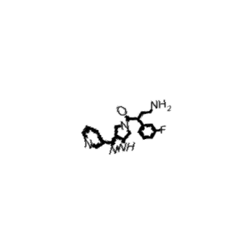 NCCC(C(=O)N1Cc2[nH]nc(-c3cccnc3)c2C1)c1cccc(F)c1